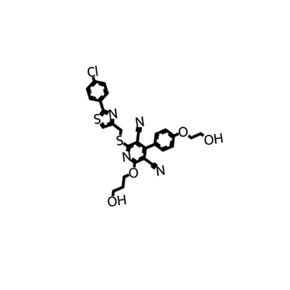 N#Cc1c(OCCCO)nc(SCc2csc(-c3ccc(Cl)cc3)n2)c(C#N)c1-c1ccc(OCCO)cc1